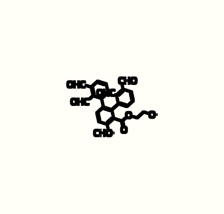 [O]CCOC(=O)c1c([C]=O)ccc(-c2cccc(C=O)c2C=O)c1-c1cccc(C=O)c1C=O